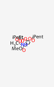 CCCC(C)C(=O)Oc1ccc(C[C@H](NCC(C)OC(=O)CC)C(=O)OC)cc1OC(=O)C(C)CCC